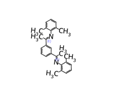 C/C(=N\c1c(C)cccc1C)c1cccc(/C(C)=N/c2c(C)cccc2C)c1